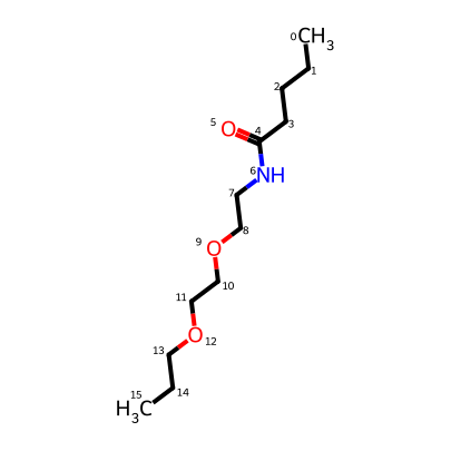 CCCCC(=O)NCCOCCOCCC